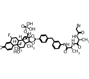 C[C@H](NC(=O)CBr)C(=O)N[C@@H](C)C(=O)Nc1cccc(Cc2ccc([C@@H]3O[C@@H]4C[C@H]5[C@@H]6C[C@H](F)C7=CC(=O)C=C[C@]7(C)[C@@]6(F)[C@@H](O)C[C@]5(C)[C@]4(C(=O)COP(=O)(O)O)O3)cc2)c1